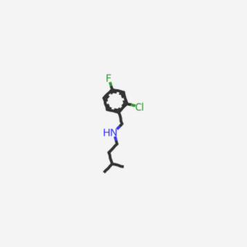 CC(C)CCNCc1ccc(F)cc1Cl